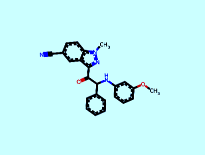 COc1cccc(NC(C(=O)c2nn(C)c3ccc(C#N)cc23)c2ccccc2)c1